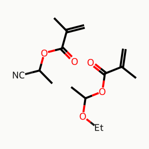 C=C(C)C(=O)OC(C)C#N.C=C(C)C(=O)OC(C)OCC